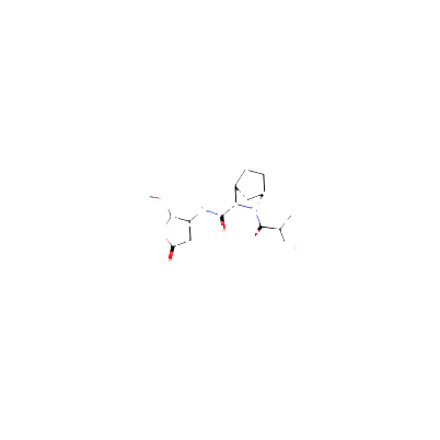 CCOC1OC(=O)CC1NC(=O)C1C2CCC(C2)N1C(=O)C(C)C(C)(C)C